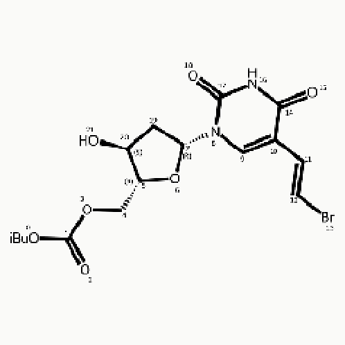 CC(C)COC(=O)OC[C@H]1O[C@@H](n2cc(C=CBr)c(=O)[nH]c2=O)C[C@@H]1O